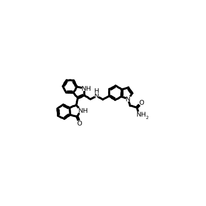 NC(=O)Cn1ccc2ccc(CNCc3[nH]c4ccccc4c3C3NC(=O)c4ccccc43)cc21